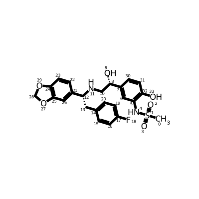 CS(=O)(=O)Nc1cc([C@@H](O)CN[C@H](Cc2ccc(F)cc2)c2ccc3c(c2)OCO3)ccc1O